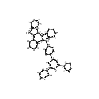 c1ccc(-c2cc(-c3ccc(-n4c5ccccc5c5c6c7ccccc7[nH]c6c6ccccc6c54)cc3)nc(-c3ccccc3)n2)cc1